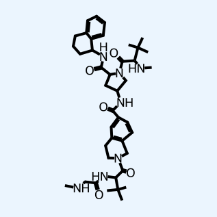 CNCC(=O)NC(C(=O)N1CCc2cc(C(=O)NC3CC(C(=O)NC4CCCc5ccccc54)N(C(=O)C(NC)C(C)(C)C)C3)ccc2C1)C(C)(C)C